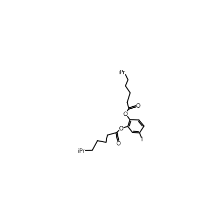 CC(C)CCCCC(=O)Oc1ccc(I)cc1OC(=O)CCCCC(C)C